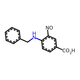 O=Nc1cc(C(=O)O)ccc1NCc1ccccc1